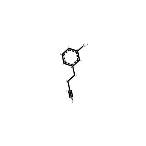 N#CC[CH]c1cccc(Cl)c1